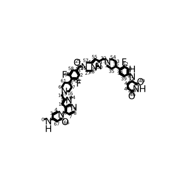 CNc1ccn(-c2ccnc3c2cc(CN2CCC(c4c(F)cc(C(=O)N5CCn6nc(CN7CCC(c8ccc(N[C@@H]9CCC(=O)NC9=O)cc8F)CC7)cc6C5)cc4F)CC2)n3C)c(=O)c1